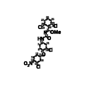 CO/C(=N\C(=O)Nc1ccc(Oc2ccc([N+](=O)[O-])c(Cl)c2)c(Cl)c1)c1c(Cl)cccc1Cl